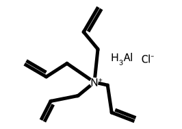 C=CC[N+](CC=C)(CC=C)CC=C.[AlH3].[Cl-]